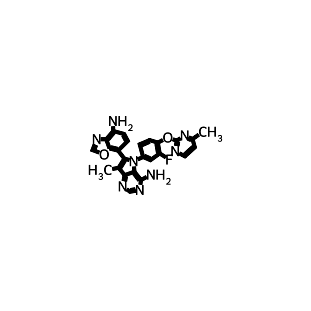 Cc1ccnc(Oc2ccc(-n3c(-c4ccc(N)c5ncoc45)c(C)c4ncnc(N)c43)cc2F)n1